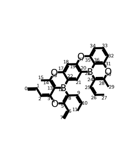 C=C/C=C1/OC(C=C)=C(/C=C\C)B2C1=C(C)Oc1cc3c(cc12)B1C(/C=C\C)=C(C)Oc2cccc(c21)O3